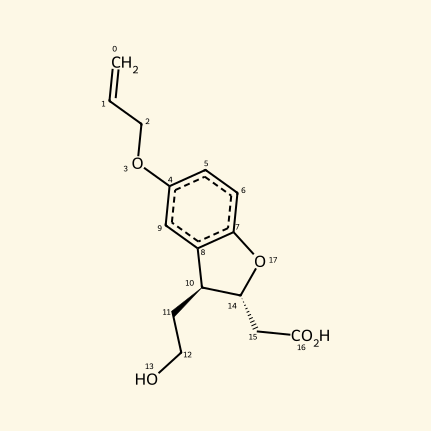 C=CCOc1ccc2c(c1)[C@H](CCO)[C@@H](CC(=O)O)O2